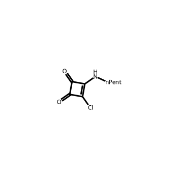 CCCCCNc1c(Cl)c(=O)c1=O